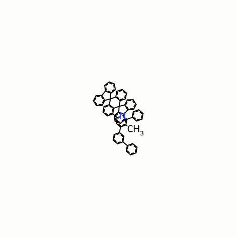 Cc1c(-c2cccc(-c3ccccc3)c2)cc(-c2cccc3c2C2(c4ccccc4-c4ccccc42)c2ccccc2C32c3ccccc3-c3ccccc32)nc1-c1ccccc1